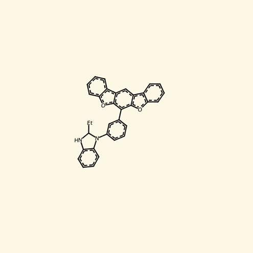 CCC1Nc2ccccc2N1c1cccc(-c2c3oc4ccccc4c3cc3c2oc2ccccc23)c1